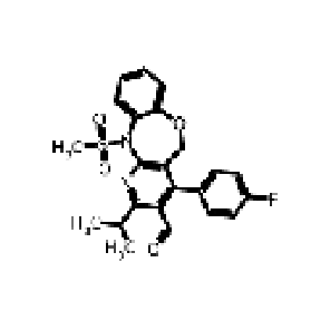 CC(C)c1nc2c(c(-c3ccc(F)cc3)c1C=O)COc1ccccc1N2S(C)(=O)=O